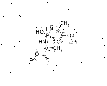 CC(C)OC(=O)[C@H](C)NP(O)(=S)N[C@@H](C)C(=O)OC(C)C